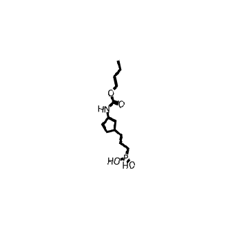 CCCCOC(=O)NC1CCC(CCC[PH](=O)O)C1